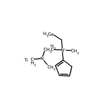 CN(C)C.C[N+](C)([CH2][GeH3])C1=CC=CC1.[Ti]